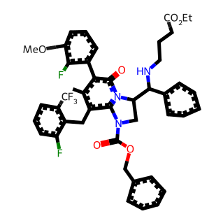 CCOC(=O)CCCNC(c1ccccc1)C1CN(C(=O)OCc2ccccc2)c2c(Cc3c(F)cccc3C(F)(F)F)c(C)c(-c3cccc(OC)c3F)c(=O)n21